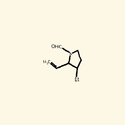 C=CC1C(CC)CCN1C=O